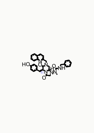 CN(C(=O)NCc1ccccc1)N1CC(=O)N2/C(=C/c3ccc(O)cc3)C(=O)N(Cc3ccc4ccccc4n3)C[C@@H]21